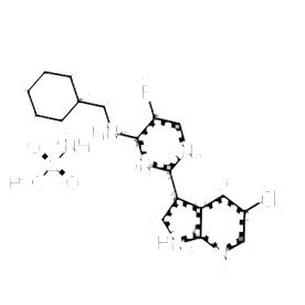 CS(=O)(=O)N[C@@H]1CCCCC1CNc1nc(-c2c[nH]c3ncc(Cl)cc23)ncc1F